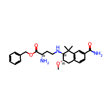 CO[C@H]1Cc2ccc(C(N)=O)cc2C(C)(C)[C@@H]1NCC[C@H](N)C(=O)OCc1ccccc1